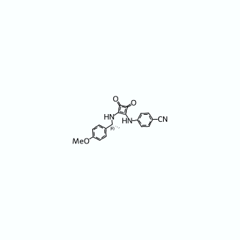 COc1ccc([C@@H](C)Nc2c(Nc3ccc(C#N)cc3)c(=O)c2=O)cc1